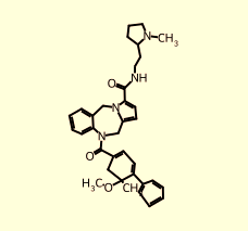 COC1(C)CC(C(=O)N2Cc3ccc(C(=O)NCCC4CCCN4C)n3Cc3ccccc32)=CC=C1c1ccccc1